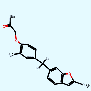 CCC(CC)(c1ccc(OCC(=O)C(C)(C)C)c(C)c1)c1ccc2cc(C(=O)O)oc2c1